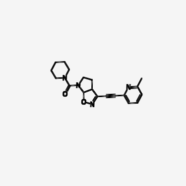 Cc1cccc(C#CC2=NOC3C2CCN3C(=O)N2CCCCC2)n1